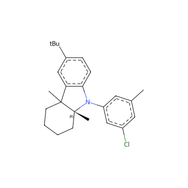 Cc1cc(Cl)cc(N2c3ccc(C(C)(C)C)cc3C3(C)CCCC[C@@]23C)c1